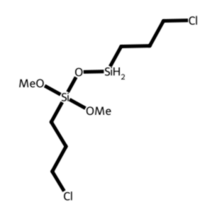 CO[Si](CCCCl)(OC)O[SiH2]CCCCl